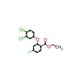 CCOC(=O)c1ccc(F)cc1Oc1ccc(Cl)c(Cl)c1